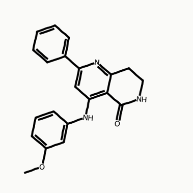 COc1cccc(Nc2cc(-c3ccccc3)nc3c2C(=O)NCC3)c1